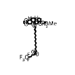 COCO[C@H]1CC[C@H]2[C@@H]3CC[C@H]4CC5(CC[C@]4(C)[C@H]3[C@@H](OCC=CCCCCCCCCCCS(=O)(=O)CCCC(F)(F)C(F)(F)F)C[C@]12C)OCCO5